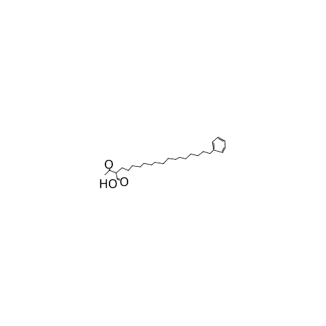 CC(=O)C(CCCCCCCCCCCCCCCCc1ccccc1)C(=O)O